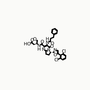 O=C[C@H](CC(=O)O)NC(=O)c1nc2n(c(=O)c1NC(=O)CCc1ccccc1)[C@H](c1ncc(-c3c(Cl)cccc3Cl)o1)CC2